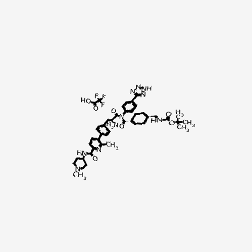 Cc1nc(C(=O)NC2CCN(C)CC2)ccc1-c1ccc(C[C@H](N)C(=O)N(c2ccc(-c3nn[nH]n3)cc2)C(=O)[C@H]2CC[C@H](CNC(=O)OC(C)(C)C)CC2)cc1.O=C(O)C(F)(F)F